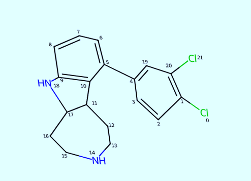 Clc1ccc(-c2cccc3c2C2CCNCCC2N3)cc1Cl